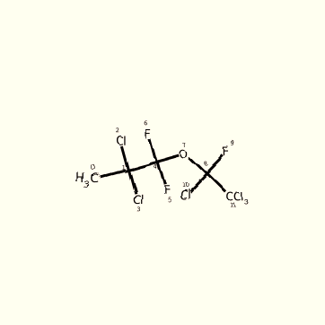 CC(Cl)(Cl)C(F)(F)OC(F)(Cl)C(Cl)(Cl)Cl